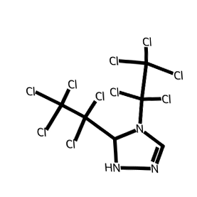 ClC(Cl)(Cl)C(Cl)(Cl)C1NN=CN1C(Cl)(Cl)C(Cl)(Cl)Cl